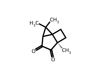 CC1(C)C2C(=O)C(=O)[C@]3(C)CCC213